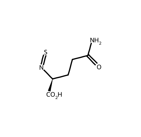 NC(=O)CC[C@H](N=S)C(=O)O